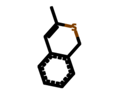 CC1=Cc2ccccc2CS1